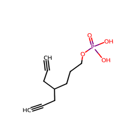 C#CCC(CC#C)CCCOP(=O)(O)O